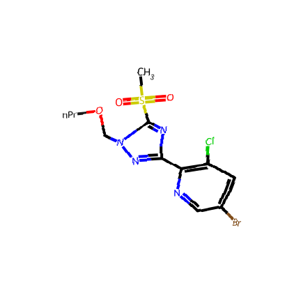 CCCOCn1nc(-c2ncc(Br)cc2Cl)nc1S(C)(=O)=O